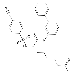 CC(=O)CCCCC[C@H](NS(=O)(=O)c1ccc(C#N)cc1)C(=O)Nc1cccc(-c2ccccc2)c1